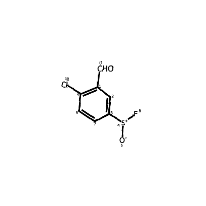 O=Cc1cc([S+]([O-])F)ccc1Cl